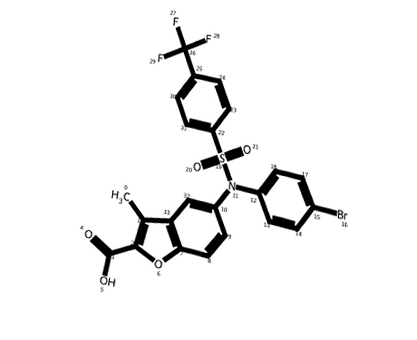 Cc1c(C(=O)O)oc2ccc(N(c3ccc(Br)cc3)S(=O)(=O)c3ccc(C(F)(F)F)cc3)cc12